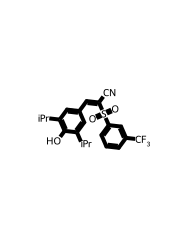 CC(C)c1cc(C=C(C#N)S(=O)(=O)c2cccc(C(F)(F)F)c2)cc(C(C)C)c1O